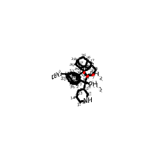 CC(C)(C)[C]12[CH]3[C]4(C(P)(C5CCCNC5)C5CCCNC5)[C]5(C6(CP)C7CC8CC(C7)CC6C8)[CH]1[Fe]32451678[CH]2[CH]1[CH]6[CH]7[CH]28